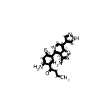 CCCC(=O)c1cc(-c2ncc(-c3cn[nH]c3)c3onc(N)c23)c(F)cc1N